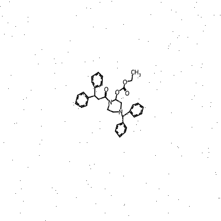 CCOC(=O)OC1CN(C(c2ccccc2)c2ccccc2)CCN1C(=O)CC(c1ccccc1)c1ccccc1